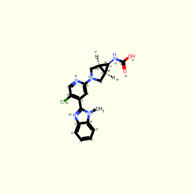 Cn1c(-c2cc(N3C[C@@H]4[C@H](C3)[C@@H]4NC(=O)O)ncc2Cl)nc2ccccc21